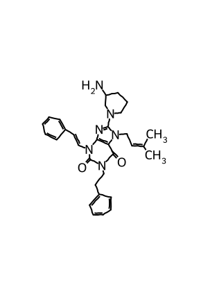 CC(C)=CCn1c(N2CCCC(N)C2)nc2c1c(=O)n(CCc1ccccc1)c(=O)n2C=Cc1ccccc1